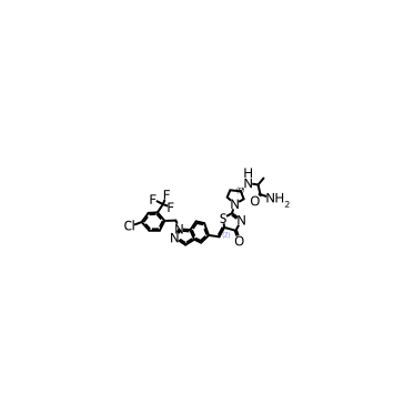 CC(N[C@H]1CCN(C2=NC(=O)/C(=C/c3ccc4c(cnn4Cc4ccc(Cl)cc4C(F)(F)F)c3)S2)C1)C(N)=O